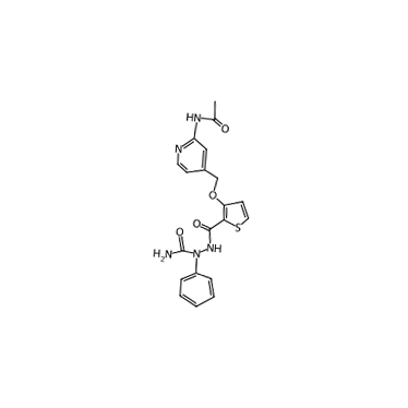 CC(=O)Nc1cc(COc2ccsc2C(=O)NN(C(N)=O)c2ccccc2)ccn1